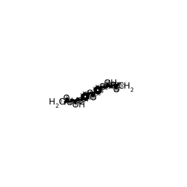 C=CC(=O)OCC(O)COc1ccc(OC(=O)c2ccc(OCC(O)COC(=O)C=C)cc2)cc1